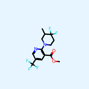 COC(=O)c1cc(C(F)(F)F)cnc1N1CCC(F)(F)C(C)C1